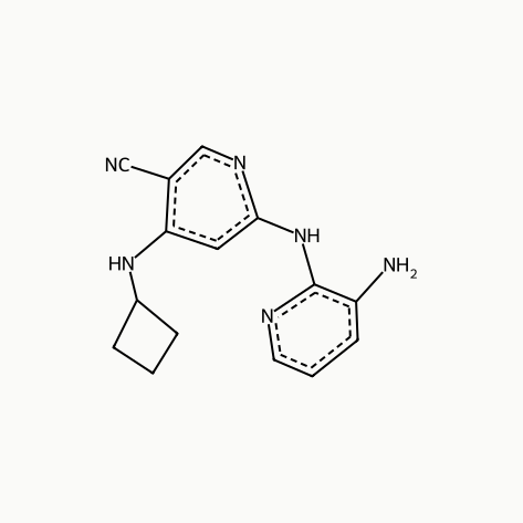 N#Cc1cnc(Nc2ncccc2N)cc1NC1CCC1